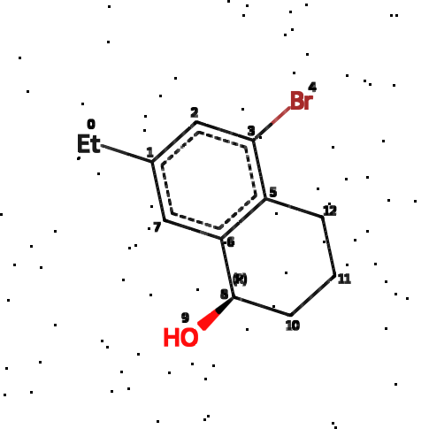 CCc1cc(Br)c2c(c1)[C@H](O)CCC2